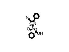 N#Cc1sc(NC(=O)[C@@H]2CCCC[C@H]2C(=O)O)nc1-c1ccccc1